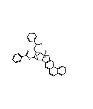 O=C(OC1C2CC(C1OC(=O)c1ccccc1)[C@@H]1Cc3cc4c(ccc5ccccc54)cc3C21)c1ccccc1